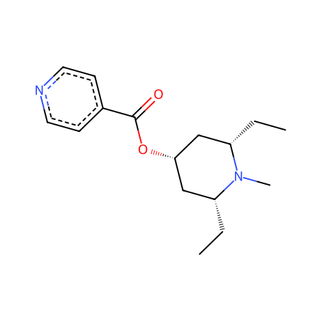 CC[C@@H]1C[C@H](OC(=O)c2ccncc2)C[C@H](CC)N1C